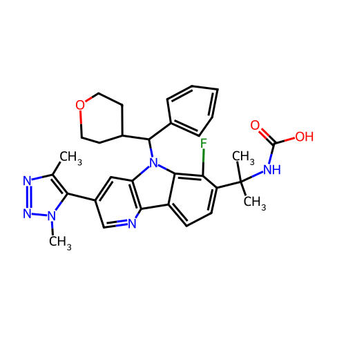 Cc1nnn(C)c1-c1cnc2c3ccc(C(C)(C)NC(=O)O)c(F)c3n(C(c3ccccc3)C3CCOCC3)c2c1